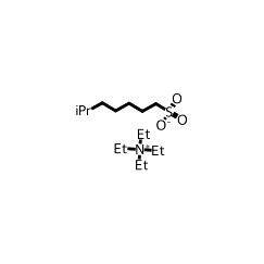 CC(C)CCCCCS(=O)(=O)[O-].CC[N+](CC)(CC)CC